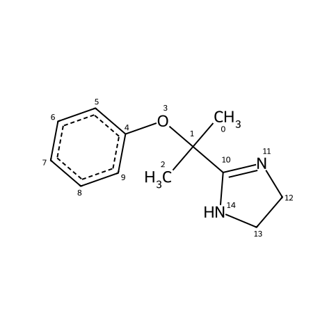 CC(C)(Oc1ccccc1)C1=NCCN1